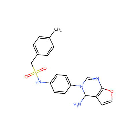 Cc1ccc(CS(=O)(=O)Nc2ccc(N3C=Nc4occc4C3N)cc2)cc1